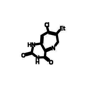 CCC1=C(Cl)C=c2[nH]c(=O)[nH]c(=O)c2=NC1